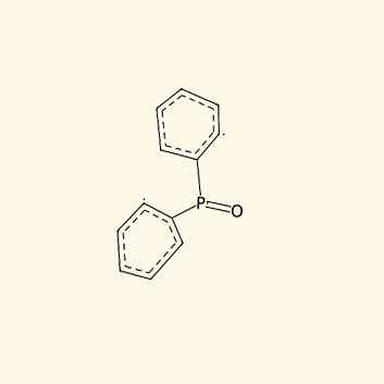 O=[P](c1[c]cccc1)c1[c]cccc1